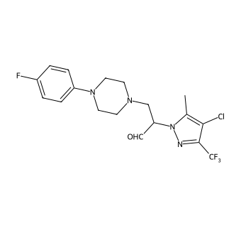 Cc1c(Cl)c(C(F)(F)F)nn1C(C=O)CN1CCN(c2ccc(F)cc2)CC1